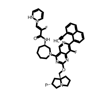 C#Cc1cccc2cccc(-c3ncc4c(N5CCCC[C@@H](NC(=O)/C(F)=C/N6C=CC=CN6)C5)nc(OC[C@@]56CCCN5C[C@H](F)C6)nc4c3F)c12